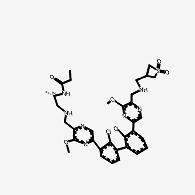 CCC(=O)N[C@@H](C)CNCc1ncc(-c2cccc(-c3cccc(-c4cnc(CNCC5CS(=O)(=O)C5)c(OC)n4)c3Cl)c2Cl)nc1OC